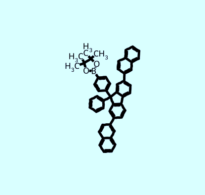 CC1(C)OB(c2ccc(C3(c4ccccc4)c4cc(-c5ccc6ccccc6c5)ccc4-c4ccc(-c5ccc6ccccc6c5)cc43)cc2)OC1(C)C